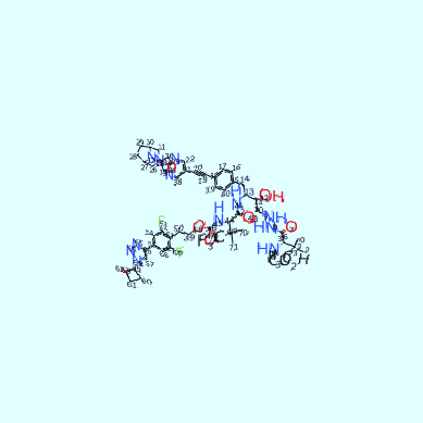 CC(C)([C@H](NC(=O)O)C(=O)NNC[C@H](O)[C@H](Cc1ccc(C#Cc2cnc(N3CC4CCC(C3)N4C3COC3)nc2)cc1)NC(=O)[C@@H](NC(=O)OCCc1c(F)cc(-c2cn(C34CC(C3)C4)nn2)cc1F)C(C)(C)C(F)(F)F)C(F)(F)F